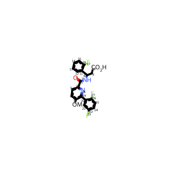 COc1ccc(C(=O)NC(CC(=O)O)c2ccccc2F)nc1-c1cc(F)ccc1F